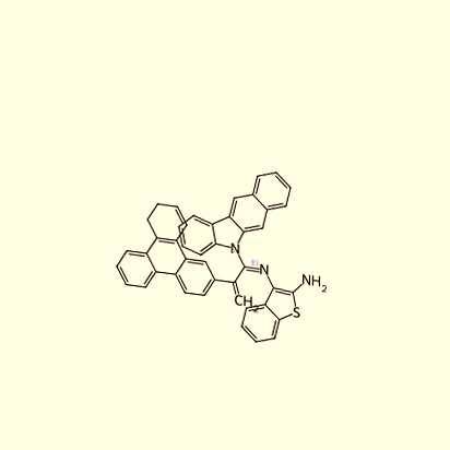 C=C(/C(=N\c1c(N)sc2ccccc12)n1c2ccccc2c2cc3ccccc3cc21)c1ccc2c(c1)c1c(c3ccccc32)CCC=C1